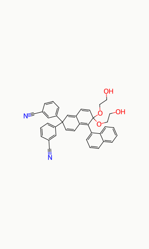 N#Cc1cccc(C2(c3cccc(C#N)c3)C=CC3=C(c4cccc5ccccc45)C(OCCO)(OCCO)C=CC3=C2)c1